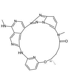 CNc1ncc2c3cc(ncc13)Nc1cccc(n1)O[C@@H](C)CCC(=O)N(C)c1ccc3nc-2nn3c1